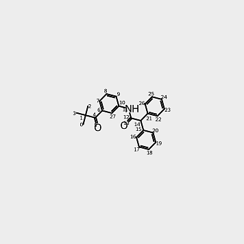 CC(C)(C)C(=O)c1cccc(NC(=O)C(c2ccccc2)c2ccccc2)c1